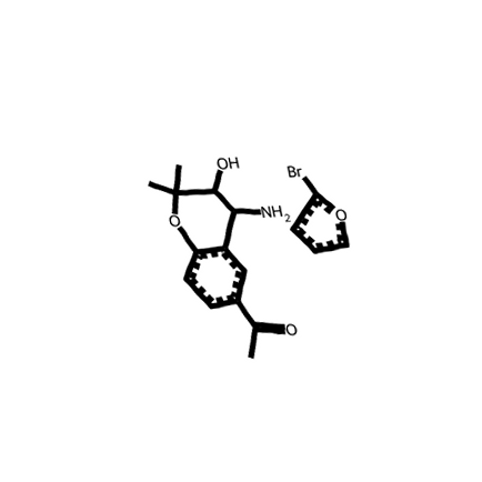 Brc1ccco1.CC(=O)c1ccc2c(c1)C(N)C(O)C(C)(C)O2